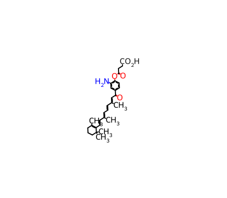 CC1=C(/C=C/C(C)=C/C=C/C(C)=C/C(=O)c2ccc(OC(=O)CCC(=O)O)c(N)c2)C(C)(C)CCC1